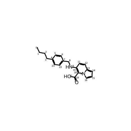 CCCCc1ccc(CNc2ccc3cccn3c2C(=O)O)cc1